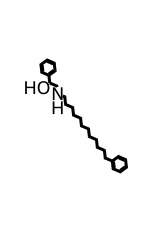 OC(CNCCCCCCCCCCCCc1ccccc1)c1ccccc1